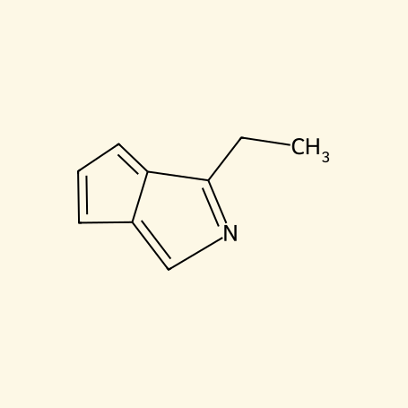 CCC1=NC=C2C=CC=C21